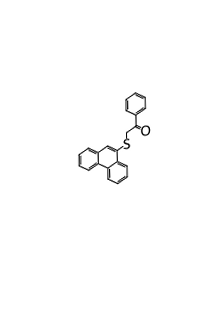 O=C(CSc1cc2ccccc2c2ccccc12)c1ccccc1